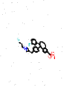 O=C(O)c1ccc2c(c1)CCCC(c1cccc(F)c1)=C2c1ccc(CC2CN(CCCF)C2)cc1